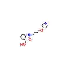 O=C(NCCCCOc1ccncc1)c1ccccc1CO